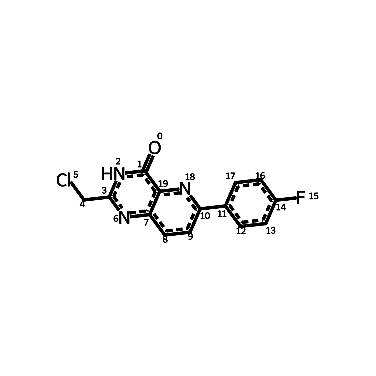 O=c1[nH]c(CCl)nc2ccc(-c3ccc(F)cc3)nc12